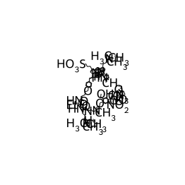 CCC(NC(=O)CCCOc1ccc(/C=C/C2=[N+]3C(=Cc4c(CCC[N+](C)(C)C)cc(-c5ccc(C)[nH]5)n4[B-]3(F)F)C(CCCS(=O)(=O)O)=C2)cc1)C(=O)NC(CCCC[N+](C)(C)C)C(=O)NCCN(C)CCOc1cc([N+](=O)[O-])c(C(C)OC(=O)ON2C(=O)CCC2=O)cc1CO